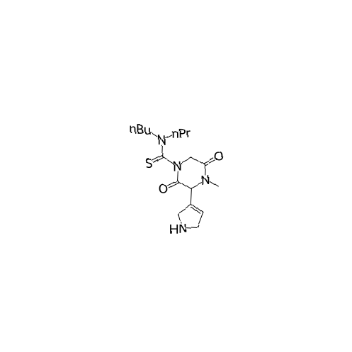 CCCCN(CCC)C(=S)N1CC(=O)N(C)C(C2=CCNC2)C1=O